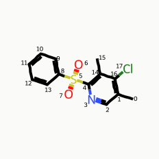 Cc1cnc(S(=O)(=O)c2ccccc2)c(C)c1Cl